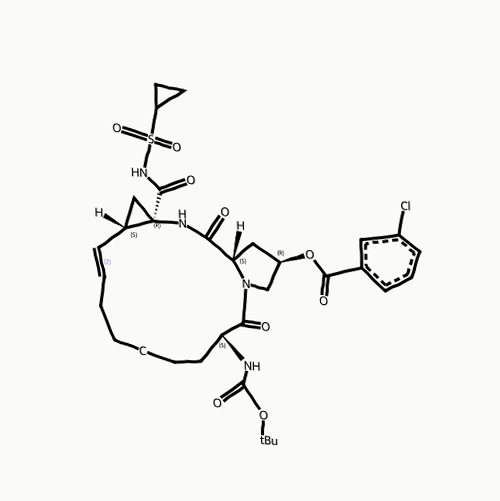 CC(C)(C)OC(=O)N[C@H]1CCCCC/C=C\[C@@H]2C[C@@]2(C(=O)NS(=O)(=O)C2CC2)NC(=O)[C@@H]2C[C@@H](OC(=O)c3cccc(Cl)c3)CN2C1=O